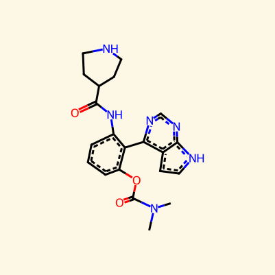 CN(C)C(=O)Oc1cccc(NC(=O)C2CCNCC2)c1-c1ncnc2[nH]ccc12